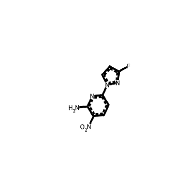 Nc1nc(-n2ccc(F)n2)ccc1[N+](=O)[O-]